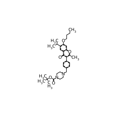 CCCCOc1cc2oc(C)c(-c3ccc(CN4CCN(C(=O)OC(C)(C)C)CC4)cc3)c(=O)c2cc1C(C)C